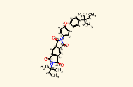 C=CC(C)(C)c1ccc(Oc2ccc(-n3c(=O)c4cc5c(=O)n(C(C)(C)CC)c(=O)c5cc4c3=O)cc2)cc1